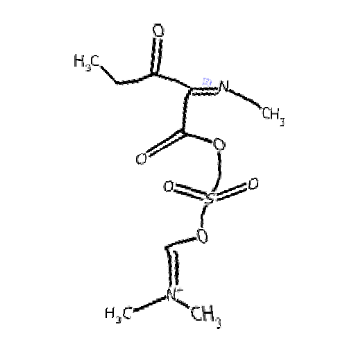 CCC(=O)/C(=N/C)C(=O)OS(=O)(=O)OC=[N+](C)C